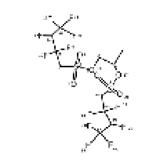 CC(COS(=O)(=O)CC(F)(F)C(F)C(F)(F)F)OS(=O)(=O)CC(F)(F)C(F)C(F)(F)F